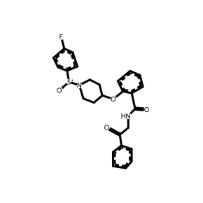 O=C(CNC(=O)c1ccccc1OC1CCN([S+]([O-])c2ccc(F)cc2)CC1)c1ccccc1